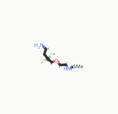 CSNCCOCC(F)(F)CCN